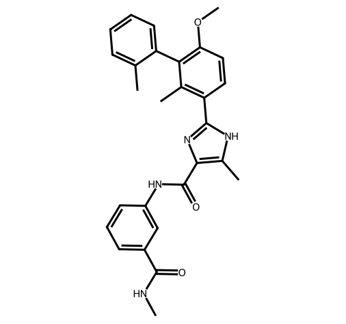 CNC(=O)c1cccc(NC(=O)c2nc(-c3ccc(OC)c(-c4ccccc4C)c3C)[nH]c2C)c1